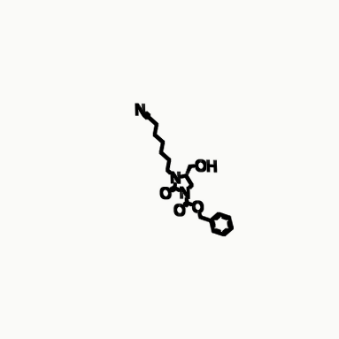 N#CCCCCCCN1C(=O)N(C(=O)OCc2ccccc2)C[C@@H]1CO